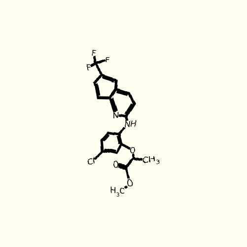 COC(=O)C(C)Oc1cc(Cl)ccc1Nc1ccc2cc(C(F)(F)F)ccc2n1